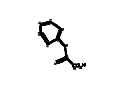 C=C(Cc1[c]cccc1)C(=O)O